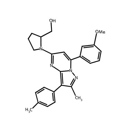 COc1cccc(-c2cc(N3CCCC3CO)nc3c(-c4ccc(C)cc4)c(C)nn23)c1